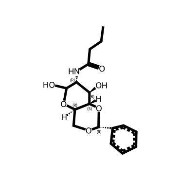 CCCC(=O)N[C@H]1C(O)O[C@@H]2CO[C@@H](c3ccccc3)O[C@H]2[C@@H]1O